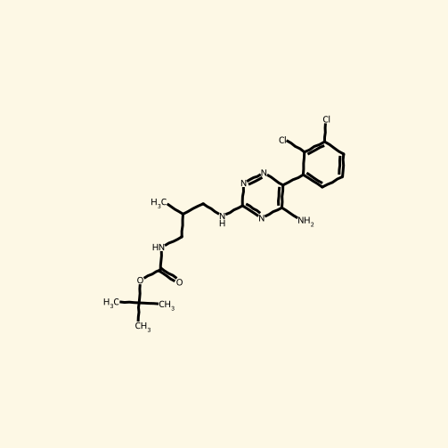 CC(CNC(=O)OC(C)(C)C)CNc1nnc(-c2cccc(Cl)c2Cl)c(N)n1